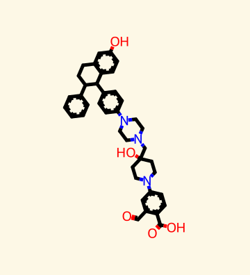 O=Cc1cc(N2CCC(O)(CN3CCN(c4ccc(C5c6ccc(O)cc6CCC5c5ccccc5)cc4)CC3)CC2)ccc1C(=O)O